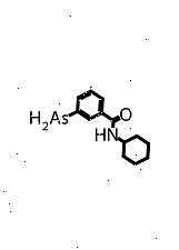 O=C(NC1CCCCC1)c1c[c]cc([AsH2])c1